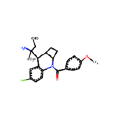 NC(CC=O)(C(=O)O)C1c2cc(F)ccc2N(C(=O)c2ccc(OC(F)(F)F)cc2)C2CCC21